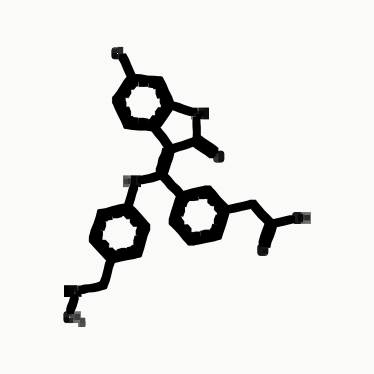 CNCc1ccc(NC(=C2C(=O)Nc3cc(Cl)ccc32)c2cccc(CC(=O)O)c2)cc1